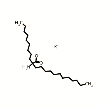 CCCCCCCCCCCCC(N)(CCCCCCCCC)C(=O)[O-].[K+]